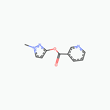 Cn1ccc(OC(=O)c2cccnc2)n1